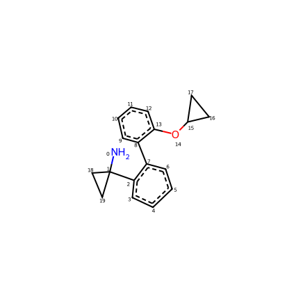 NC1(c2ccccc2-c2ccccc2OC2CC2)CC1